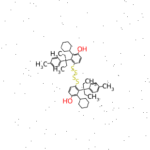 CCC(CC)(c1ccc(C)cc1)c1c(SSSSc2ccc(O)c(C3CCCCC3)c2C(CC)(CC)c2ccc(C)cc2)ccc(O)c1C1CCCCC1